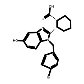 O=C(O)[C@@H]1CCCC[C@@H]1c1nc2cc(O)ccc2n1Cc1ccc(Br)cc1